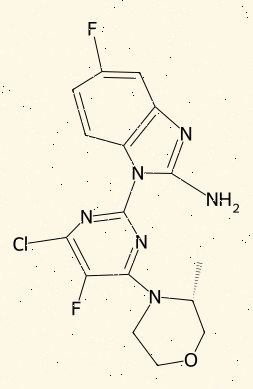 C[C@@H]1COCCN1c1nc(-n2c(N)nc3cc(F)ccc32)nc(Cl)c1F